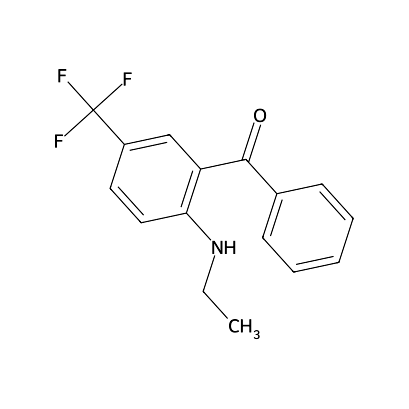 CCNc1ccc(C(F)(F)F)cc1C(=O)c1ccccc1